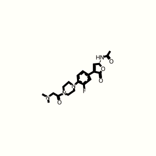 CC(=O)N[C@H]1C=C(c2ccc(N3CCN(C(=O)CN(C)C)CC3)c(F)c2)C(=O)O1